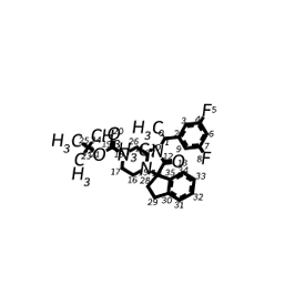 C[C@H](c1cc(F)cc(F)c1)N(C)C(=O)C1(N2CCN(C(=O)OC(C)(C)C)CC2)CCc2ccccc21